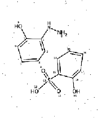 NNc1ccccc1O.O=S(=O)(O)c1ccccc1O